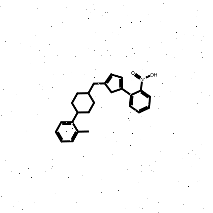 Cc1ccccc1C1CCC(CC2=CC=C(c3ccccc3[N+](=O)O)C2)CC1